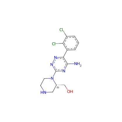 Nc1nc(N2CCNC[C@H]2CO)nnc1-c1cccc(Cl)c1Cl